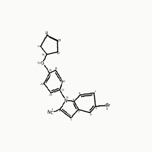 N#Cc1cc2cc(Br)ccc2n1-c1ccc(OC2CCCC2)cc1